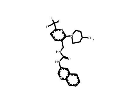 CC1CCN(c2nc(C(F)(F)F)ccc2CNC(=O)Nc2cnc3ccccc3c2)CC1